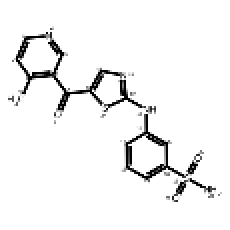 Cc1ccncc1C(=O)c1cnc(Nc2cccc(S(N)(=O)=O)c2)s1